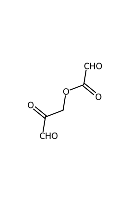 O=CC(=O)COC(=O)C=O